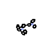 c1ccc(-n2c3ccccc3c3cc(-c4ccc5c(c4)N4c6cccc7cccc(c67)-c6ccc7cccc-5c7c64)ccc32)cc1